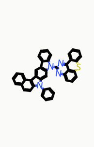 c1ccc(-n2c3cc4c(cc3c3c5ccccc5ccc32)c2ccccc2n4-c2nc3c4c(cccc4n2)Sc2ccccc2-3)cc1